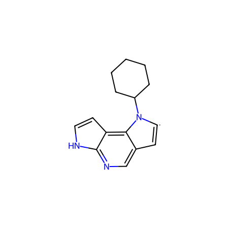 [c]1cc2cnc3[nH]ccc3c2n1C1CCCCC1